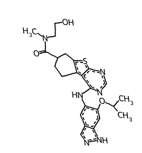 CC(C)Oc1cc2[nH]ncc2cc1Nc1ncnc2sc3c(c12)CCC(C(=O)N(C)CCO)C3